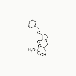 NC(=O)O[C@H](CO)CN1CC[C@H](OCc2ccccc2)C1=O